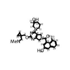 CNCC1(COc2nc3c(c(N4CCC[C@@](C)(O)C4)n2)CN(C(=O)c2cc(O)cc4cccc(I)c24)C3)CC1